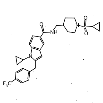 O=C(NCC1CCN(S(=O)(=O)C2CC2)CC1)c1ccc2c(c1)cc(Cc1ccc(C(F)(F)F)cc1)n2C1CC1